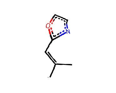 [CH2]/C(C)=C/c1ncco1